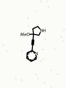 COC1(C#Cc2ccccn2)CCNC1